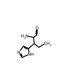 CCC(c1cnc[nH]1)C(N)C=O